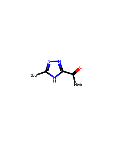 CNC(=O)c1nnc(C(C)(C)C)[nH]1